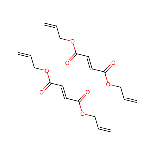 C=CCOC(=O)C=CC(=O)OCC=C.C=CCOC(=O)C=CC(=O)OCC=C